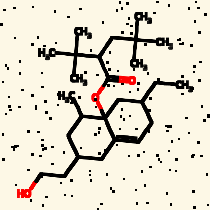 CCC1CC=C2CC(CCO)CC(C)C2(OC(=O)C(CC(C)(C)C)C(C)(C)C)C1